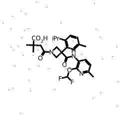 Cc1ccc(C(C)C)c(C2(C(=O)Nc3ccc(C)nc3OC(F)F)CN(C(=O)CC(C)(C)C(=O)O)C2)c1